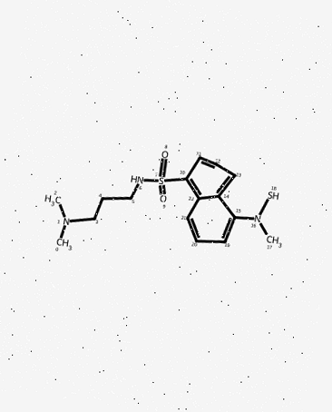 CN(C)CCCNS(=O)(=O)c1cccc2c(N(C)S)cccc12